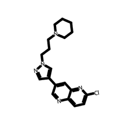 Clc1ccc2ncc(-c3cnn(CCCN4CCCCC4)c3)cc2n1